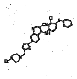 CCN1CCN(Cc2ccc(-c3ccc4c(Nc5ccc(Sc6ccccc6)c(Cl)c5)c(C#N)cnc4c3)s2)CC1